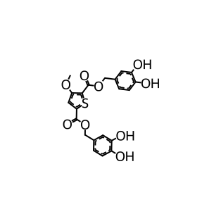 COc1cc(C(=O)OCc2ccc(O)c(O)c2)sc1C(=O)OCc1ccc(O)c(O)c1